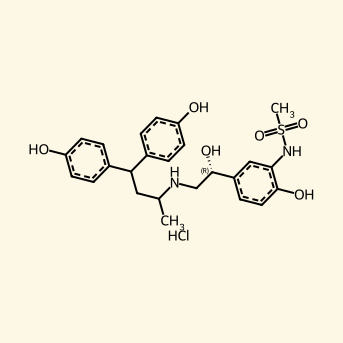 CC(CC(c1ccc(O)cc1)c1ccc(O)cc1)NC[C@H](O)c1ccc(O)c(NS(C)(=O)=O)c1.Cl